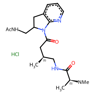 CN[C@@H](C)C(=O)NC[C@@H](C)CC(=O)N1c2ncccc2CC1CNC(C)=O.Cl